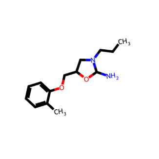 CCCN1CC(COc2ccccc2C)OC1N